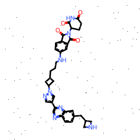 O=C1CCC(N2C(=O)c3ccc(NCCCC4CC(n5cc(-c6cnc7ccc(CC8CNC8)cc7n6)cn5)C4)cc3C2=O)C(=O)N1